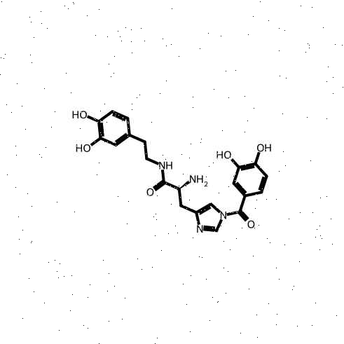 N[C@@H](Cc1cn(C(=O)c2ccc(O)c(O)c2)cn1)C(=O)NCCc1ccc(O)c(O)c1